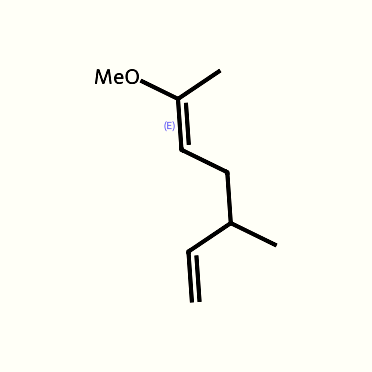 C=CC(C)C/C=C(\C)OC